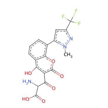 Cn1nc(C(F)(F)F)cc1-c1cccc2c(O)c(C(=O)C(N)C(=O)O)c(=O)oc12